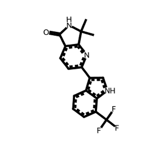 CC1(C)NC(=O)c2ccc(-c3c[nH]c4c(C(F)(F)F)cccc34)nc21